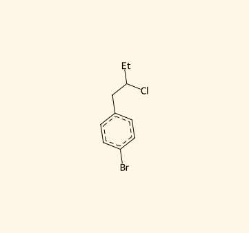 CCC(Cl)Cc1ccc(Br)cc1